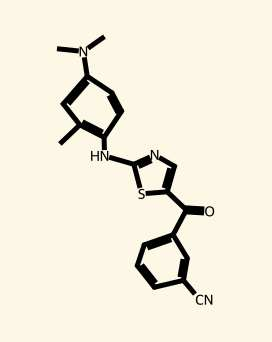 Cc1cc(N(C)C)ccc1Nc1ncc(C(=O)c2cccc(C#N)c2)s1